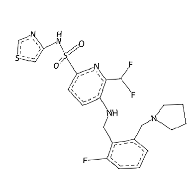 O=S(=O)(Nc1cscn1)c1ccc(NCc2c(F)cccc2CN2CCCC2)c(C(F)F)n1